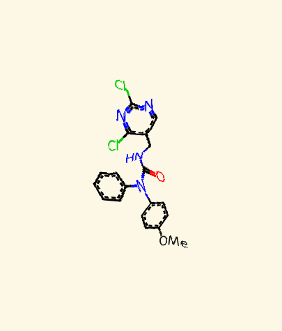 COc1ccc(N(C(=O)NCc2cnc(Cl)nc2Cl)c2ccccc2)cc1